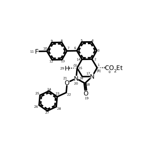 CCOC(=O)[C@H]1c2cccc(-c3ccc(F)cc3)c2[C@H]2CN1C(=O)N2OCc1ccccc1